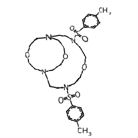 Cc1ccc(S(=O)(=O)N2CCOCCN(S(=O)(=O)c3ccc(C)cc3)CCN3CCOCCN(CCOCC3)CC2)cc1